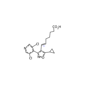 O=C(O)CCCC/C=C/c1c(-c2c(Cl)cncc2Cl)noc1C1CC1